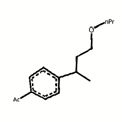 CCCOCCC(C)c1ccc(C(C)=O)cc1